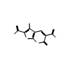 NC(=O)c1sc2[nH]c(=O)c(C(=O)O)cc2c1N